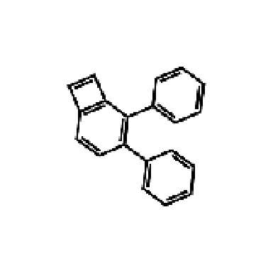 C1=Cc2c1ccc(-c1ccccc1)c2-c1ccccc1